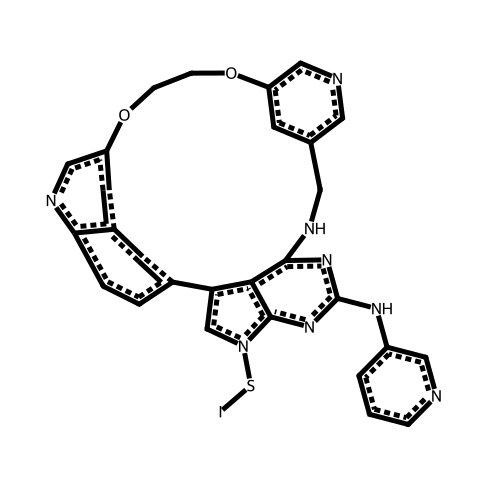 ISn1cc2c3c(nc(Nc4cccnc4)nc31)NCc1cncc(c1)OCCOc1cnc3ccc-2cc3c1